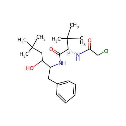 CC(C)(C)[CH]C(O)C(Cc1ccccc1)NC(=O)[C@@H](NC(=O)CCl)C(C)(C)C